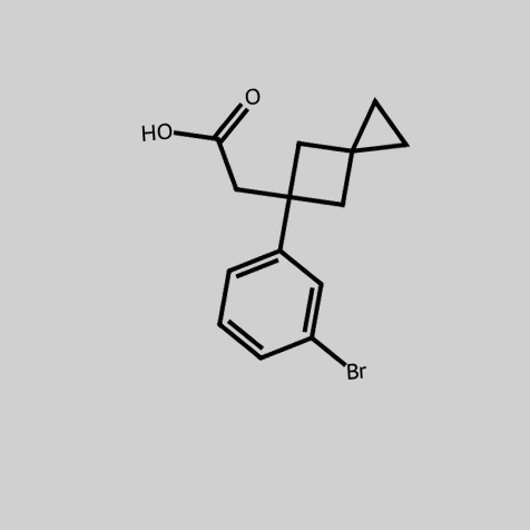 O=C(O)CC1(c2cccc(Br)c2)CC2(CC2)C1